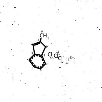 CC1=Cc2ccccc2C1.[Cl-].[Cl-].[Cl-].[Ti+3]